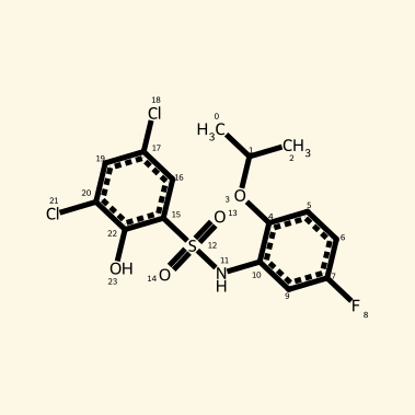 CC(C)Oc1ccc(F)cc1NS(=O)(=O)c1cc(Cl)cc(Cl)c1O